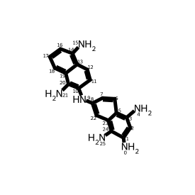 Nc1cc(N)c2ccc(Nc3ccc4c(N)cccc4c3N)cc2c1N